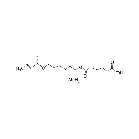 CC=CC(=O)OCCCCCCOC(=O)CCCCC(=O)O.[MgH2]